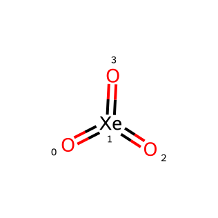 O=[Xe](=O)=O